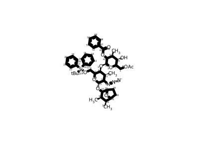 CC(=O)OCC1O[C@@H](O[C@@H]2C(CO[Si](c3ccccc3)(c3ccccc3)C(C)(C)C)O[C@@H](OC3C4CCC(O4)[C@@H](C)[C@H]3C)C(N=[N+]=[N-])[C@H]2C)C(OC(=O)c2ccccc2)[C@@H](C)[C@@H]1O